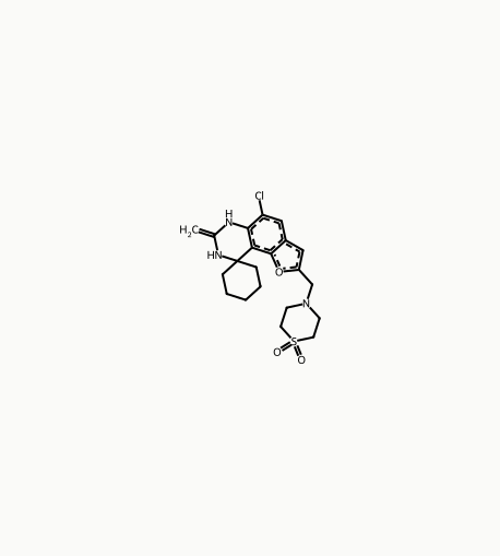 C=C1Nc2c(Cl)cc3cc(CN4CCS(=O)(=O)CC4)oc3c2C2(CCCCC2)N1